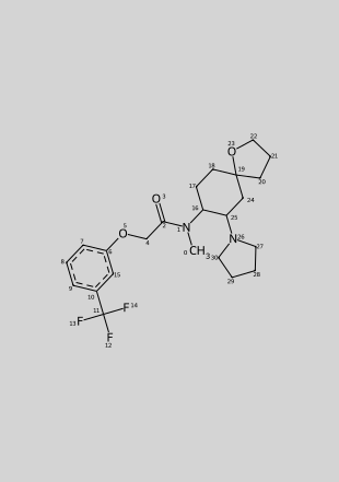 CN(C(=O)COc1cccc(C(F)(F)F)c1)C1CCC2(CCCO2)CC1N1CCCC1